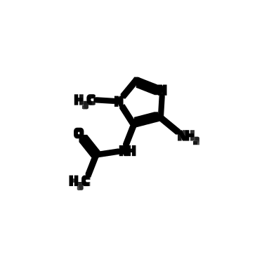 CC(=O)Nc1c(N)ncn1C